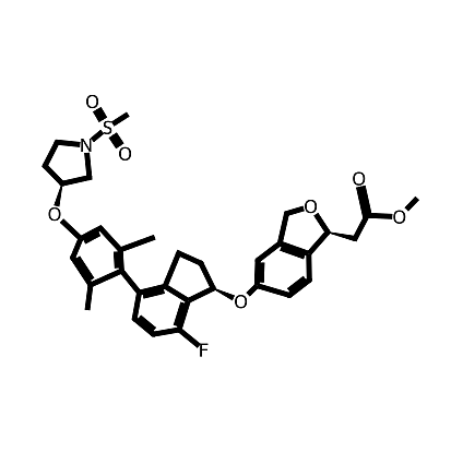 COC(=O)C[C@@H]1OCc2cc(O[C@@H]3CCc4c(-c5c(C)cc(O[C@H]6CCN(S(C)(=O)=O)C6)cc5C)ccc(F)c43)ccc21